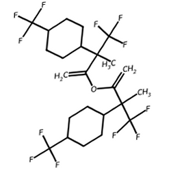 C=C(OC(=C)C(C)(C1CCC(C(F)(F)F)CC1)C(F)(F)F)C(C)(C1CCC(C(F)(F)F)CC1)C(F)(F)F